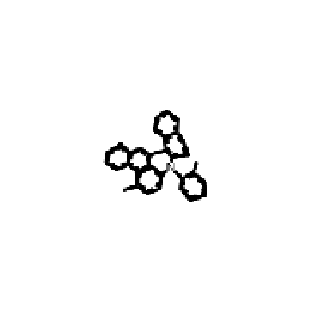 Cc1ccc(N(c2ccccc2C)c2ccc3ccccc3c2-c2ccc3ccccc3c2)cc1